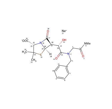 CNC(=O)CN(Cc1ccccc1)C(=O)[C@@H](O)[C@@H]1C(=O)N2[C@@H]1SC(C)(C)[C@@H]2C(=O)[O-].[Na+]